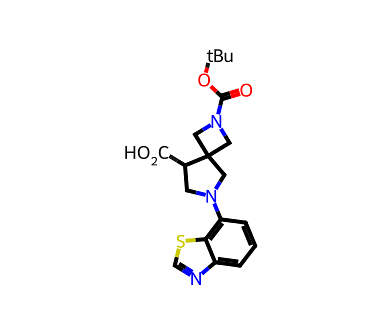 CC(C)(C)OC(=O)N1CC2(C1)CN(c1cccc3ncsc13)CC2C(=O)O